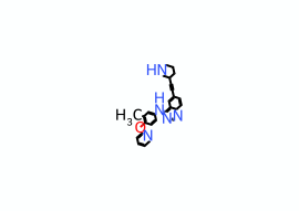 Cc1cc(Nc2ncnc3ccc(C#CC4CCCNC4)cc23)ccc1Oc1ccccn1